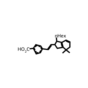 CCCCCCC1C2=C(CC1C=Cc1ccc(C(=O)O)cc1)C(C)(C)CC=C2